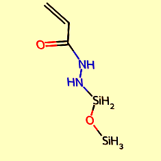 C=CC(=O)NN[SiH2]O[SiH3]